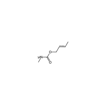 CC=CCOC(=O)NC